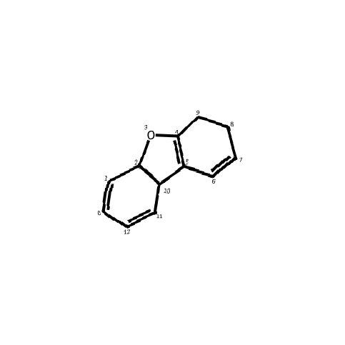 C1=CC2OC3=C(C=CCC3)C2C=C1